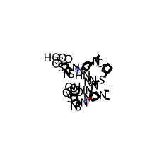 CCN(CC)c1ccc(/N=N/c2snc3sc(S(=O)(=O)O)c(OC)c23)c(Nc2nc3nc(n2)SCc2cccc(c2)CN(CC)c2ccc(/N=N/c4snc5sc(S(=O)(=O)O)c(OC)c45)c(c2)N3)c1